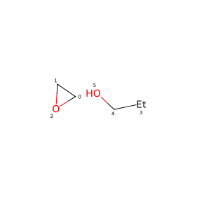 C1CO1.CCCO